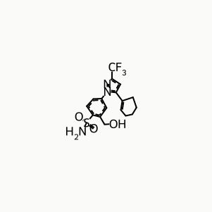 NS(=O)(=O)c1ccc(-n2nc(C(F)(F)F)cc2C2=CCCCC2)cc1CO